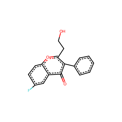 O=c1c(-c2ccccc2)c(CCO)oc2ccc(F)cc12